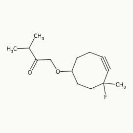 CC(C)C(=O)COC1CCC#CC(C)(F)CC1